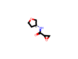 O=C(N[C@@H]1CCOC1)C1CO1